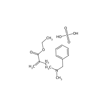 C=C(C)C(=O)OCC.CN(C)Cc1ccccc1.O=S(=O)(O)O